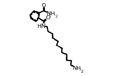 NCCCCCCCCCCCCNC(=O)c1ccccc1C(N)=O